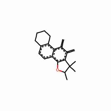 C=c1c2c(c3ccc4c(c3c1=C)CCCC4)OC(C)C2(C)C